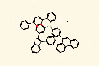 c1ccc(-c2ccc(-c3ccccc3N(c3ccc(-c4cc5ccccc5c5ccccc45)cc3)c3cccc(-c4oc5ccccc5c4-c4ccccc4)c3)cc2)cc1